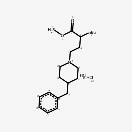 BOC(=O)C(CCCC)CCN1CCC(Cc2ccccc2)CC1.Cl.Cl